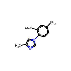 Bc1ccc(-n2cnc(C)c2)c(OC)c1